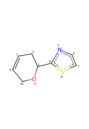 C1=CCC(c2nccs2)OC1